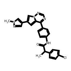 CC(C(=O)Nc1ccc(-c2ncnn3cc(-c4cnn(C)c4)cc23)cc1)c1ccc(Cl)cc1